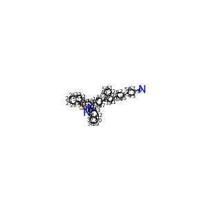 N#Cc1ccc(-c2ccc(-c3ccc(-c4ccc(-c5cc6c7ccc8ccccc8c7sc6c6nc7c8ccccc8ccc7n56)cc4)c4ccccc34)cc2)cc1